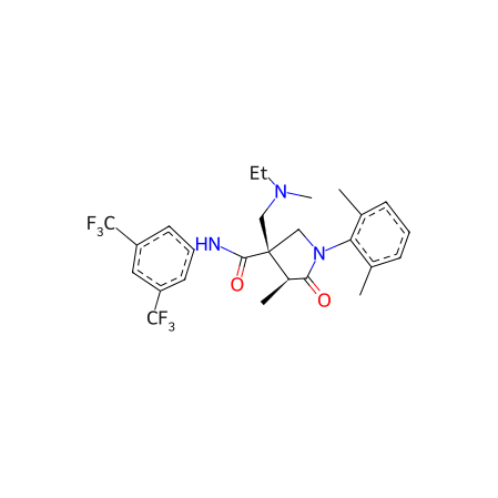 CCN(C)C[C@@]1(C(=O)Nc2cc(C(F)(F)F)cc(C(F)(F)F)c2)CN(c2c(C)cccc2C)C(=O)[C@H]1C